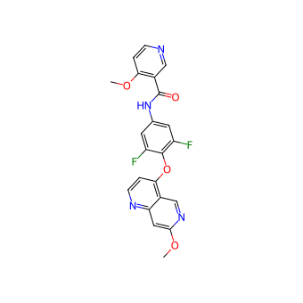 COc1cc2nccc(Oc3c(F)cc(NC(=O)c4cnccc4OC)cc3F)c2cn1